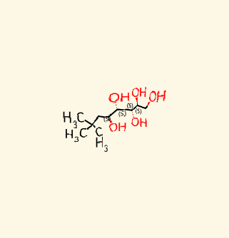 CC(C)(C)C[C@H](O)[C@H](O)[C@@H](O)[C@@H](O)CO